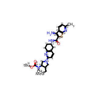 COCC1CN(c2ccc3c(n2)CC[C@H](NC(=O)c2sc4nc(C)ccc4c2N)C3)CC1N(C)C(=O)OC(C)(C)C